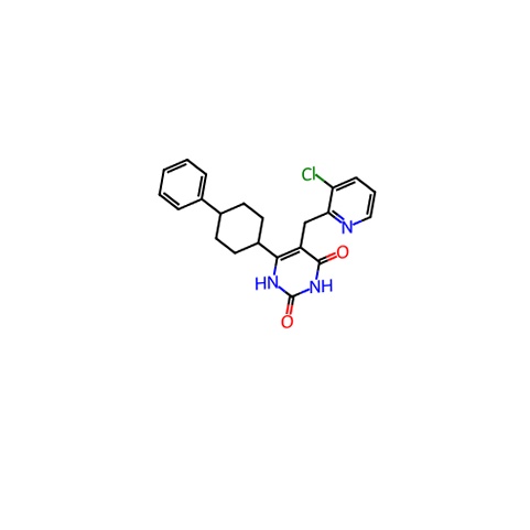 O=c1[nH]c(C2CCC(c3ccccc3)CC2)c(Cc2ncccc2Cl)c(=O)[nH]1